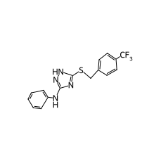 FC(F)(F)c1ccc(CSc2nc(Nc3ccccc3)n[nH]2)cc1